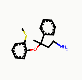 CSc1ccccc1OC(C)(CCN)c1ccccc1